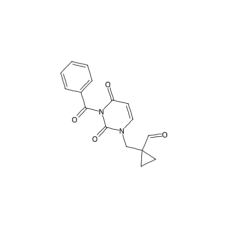 O=CC1(Cn2ccc(=O)n(C(=O)c3ccccc3)c2=O)CC1